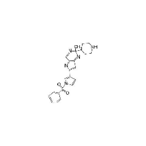 CC1(C2CCNCC2)N=CC2=NC(c3ccn(S(=O)(=O)c4ccccc4)c3)=CC2=N1